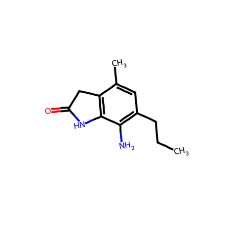 CCCc1cc(C)c2c(c1N)NC(=O)C2